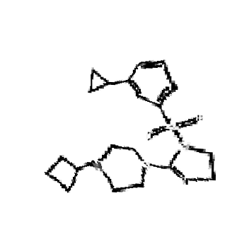 O=S(=O)(c1cccc(C2CC2)c1)N1CCN=C1N1CCN(C2CCC2)CC1